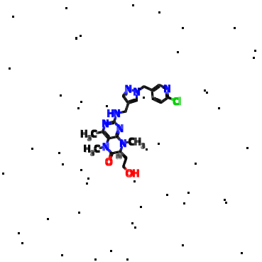 Cc1nc(NCc2cnn(Cc3ccc(Cl)nc3)c2)nc2c1N(C)C(=O)[C@H](CCO)N2C